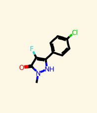 Cn1[nH]c(-c2ccc(Cl)cc2)c(F)c1=O